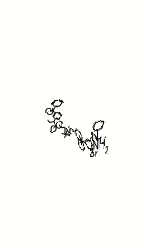 CCC(C(=O)OCCN(CCOC(=O)c1cc(Br)c(N)c(CN(CC)C2CCCCC2)c1)C(C)(C)C)c1cccc(C(=O)c2ccccc2)c1